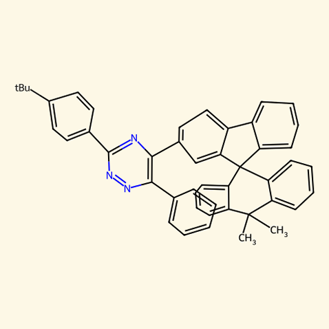 CC(C)(C)c1ccc(-c2nnc(-c3ccccc3)c(-c3ccc4c(c3)C3(c5ccccc5-4)c4ccccc4C(C)(C)c4ccccc43)n2)cc1